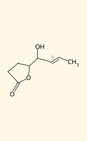 C/C=C/C(O)C1CCC(=O)O1